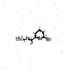 C/C(=N\CC(C)(C)C)c1cccc(Br)n1